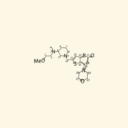 COCCN(C)C1CCCN(Cc2cc3nc(Cl)nc(N4CCOCC4)c3s2)C1